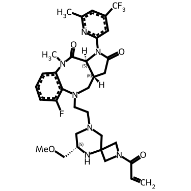 C=CC(=O)N1CC2(CN(CCN3C[C@H]4CC(=O)N(c5cc(C(F)(F)F)cc(C)n5)[C@@H]4C(=O)N(C)c4cccc(F)c43)C[C@@H](COC)N2)C1